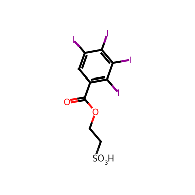 O=C(OCCS(=O)(=O)O)c1cc(I)c(I)c(I)c1I